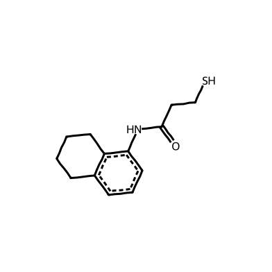 O=C(CCS)Nc1cccc2c1CCCC2